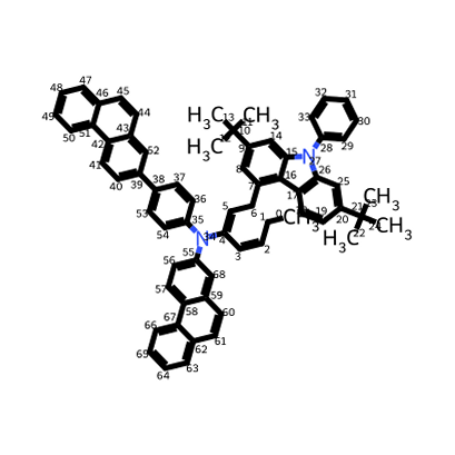 CC/C=C\C(=C/Cc1cc(C(C)(C)C)cc2c1c1ccc(C(C)(C)C)cc1n2-c1ccccc1)N(c1ccc(-c2ccc3c(ccc4ccccc43)c2)cc1)c1ccc2c(ccc3ccccc32)c1